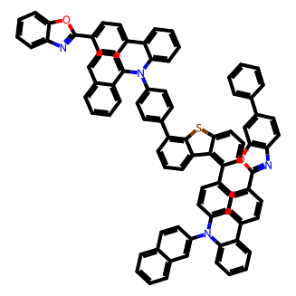 c1ccc(-c2ccc3nc(-c4ccc(-c5ccccc5N(c5ccc(-c6cccc7sc8c(-c9ccc(N(c%10ccccc%10-c%10ccc(-c%11nc%12ccccc%12o%11)cc%10)c%10cccc%11ccccc%10%11)cc9)cccc8c67)cc5)c5ccc6ccccc6c5)cc4)oc3c2)cc1